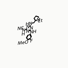 CCN1CCCC1CNc1nc(NC#N)nc(Nc2ccc(OC)c(F)c2)n1